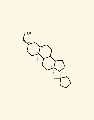 CC1([C@H]2CCC3C4CC[C@@H]5C[C@H](CC(=O)O)CC[C@]5(C)C4CC[C@@]32C)OCCO1